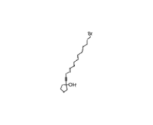 OC1(C#CCCCCCCCCCCCCBr)CCCC1